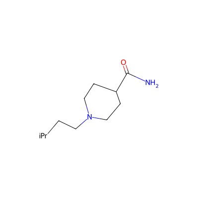 CC(C)CCN1CCC(C(N)=O)CC1